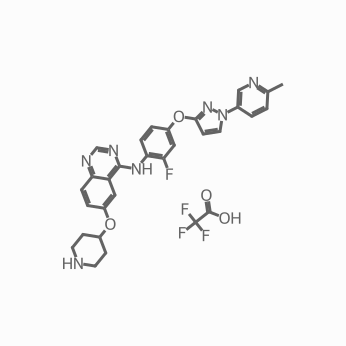 Cc1ccc(-n2ccc(Oc3ccc(Nc4ncnc5ccc(OC6CCNCC6)cc45)c(F)c3)n2)cn1.O=C(O)C(F)(F)F